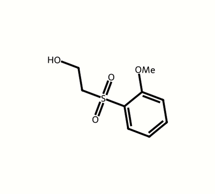 COc1ccccc1S(=O)(=O)CCO